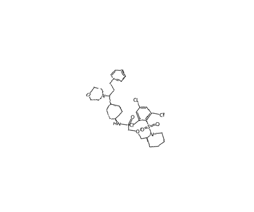 O=C(COCC1CCCCN1S(=O)(=O)c1c(Cl)cc(Cl)cc1Cl)NC1CCC(C(CCc2ccccc2)N2CCOCC2)CC1